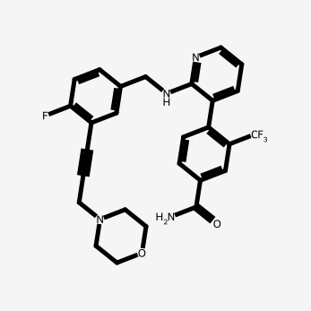 NC(=O)c1ccc(-c2cccnc2NCc2ccc(F)c(C#CCN3CCOCC3)c2)c(C(F)(F)F)c1